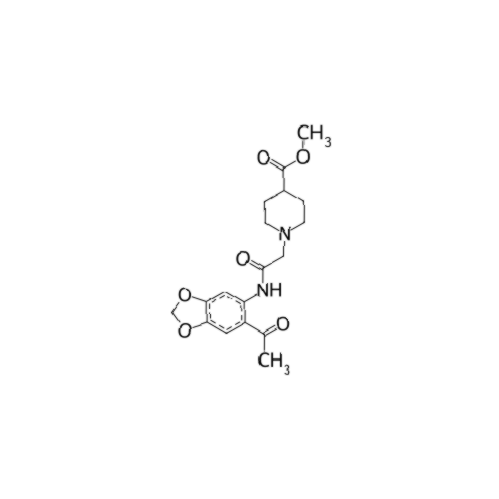 COC(=O)C1CCN(CC(=O)Nc2cc3c(cc2C(C)=O)OCO3)CC1